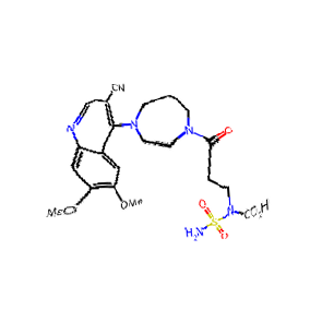 COc1cc2ncc(C#N)c(N3CCCN(C(=O)CCN(C(=O)O)S(N)(=O)=O)CC3)c2cc1OC